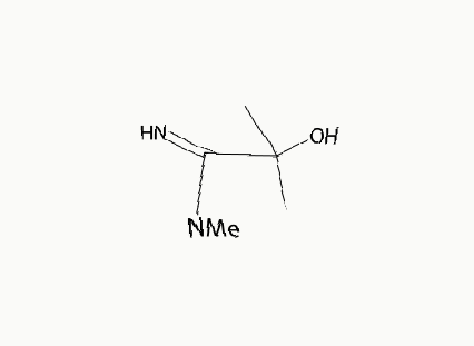 CNC(=N)C(C)(C)O